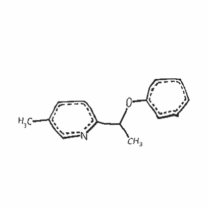 Cc1ccc(C(C)Oc2ccccc2)nc1